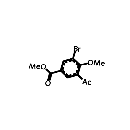 COC(=O)c1cc(Br)c(OC)c(C(C)=O)c1